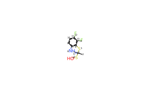 CC(C)(SO)Sc1c(N)ccc(F)c1F